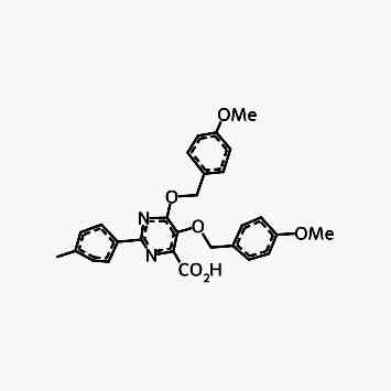 COc1ccc(COc2nc(-c3ccc(C)cc3)nc(C(=O)O)c2OCc2ccc(OC)cc2)cc1